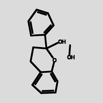 CO.OC1(c2ccccc2)CCc2ccccc2O1